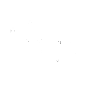 O=C(O)NSSc1ncccn1